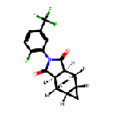 O=C1[C@@H]2[C@@H]3CC[C@@H]([C@@H]4C[C@@H]43)[C@@H]2C(=O)N1c1cc(C(F)(F)F)ccc1F